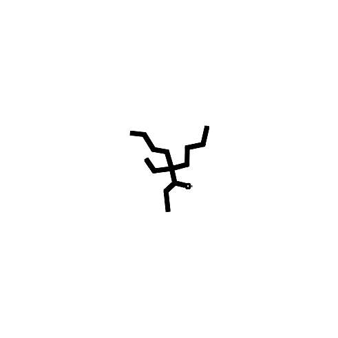 CCCCC(CC)(CCCC)C([O])CC